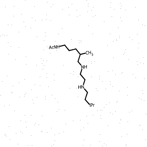 CC(=O)NCCCC(C)CNCCNCCC(C)C